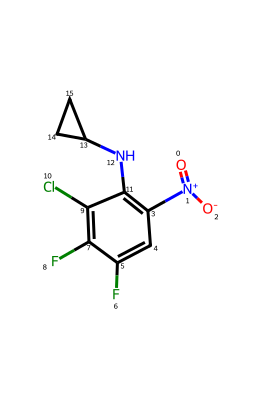 O=[N+]([O-])c1cc(F)c(F)c(Cl)c1NC1CC1